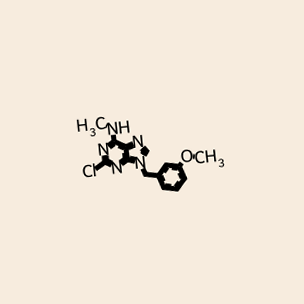 CNc1nc(Cl)nc2c1ncn2Cc1cccc(OC)c1